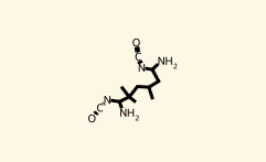 CC(CC(N)N=C=O)CC(C)(C)C(N)N=C=O